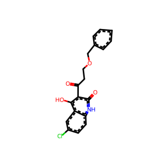 O=C(CCOCc1ccccc1)c1c(O)c2cc(Cl)ccc2[nH]c1=O